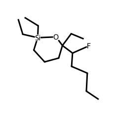 CCCCC(F)C1(CC)CCC[Si](CC)(CC)O1